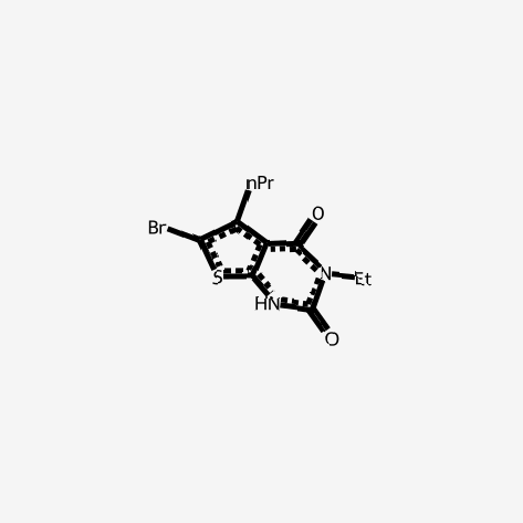 CCCc1c(Br)sc2[nH]c(=O)n(CC)c(=O)c12